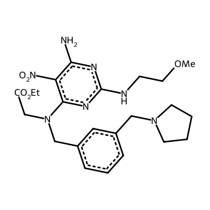 CCOC(=O)CN(Cc1cccc(CN2CCCC2)c1)c1nc(NCCOC)nc(N)c1[N+](=O)[O-]